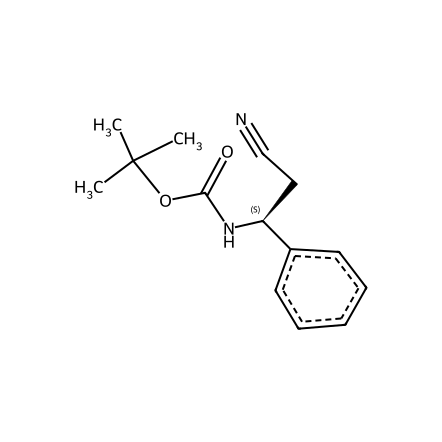 CC(C)(C)OC(=O)N[C@@H](CC#N)c1ccccc1